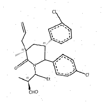 C=CC[C@@]1(C)C[C@H](c2cccc(Cl)c2)C(c2ccc(Cl)cc2)N(C(CC)[C@H](C)C=O)C1=O